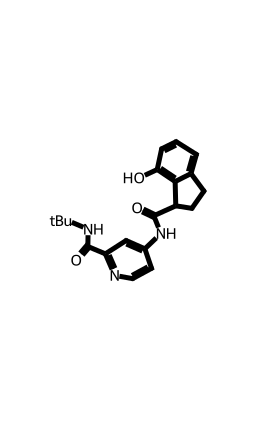 CC(C)(C)NC(=O)c1cc(NC(=O)C2CCc3cccc(O)c32)ccn1